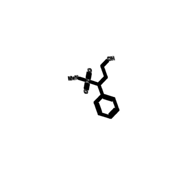 CNS(=O)(=O)C(CCO)c1ccccc1